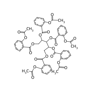 CC(=O)Oc1ccccc1C(=O)OCC(OC(=O)c1ccccc1OC(C)=O)C(OC(=O)c1ccccc1OC(C)=O)C(COC(=O)c1ccccc1OC(C)=O)OC(=O)c1ccccc1OC(C)=O